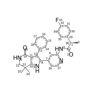 C[C@@H](C(=O)Nc1cc(-c2[nH]c3c(c2-c2ccccc2)C(=O)NCC3(C)C)ccn1)c1ccc(F)cc1